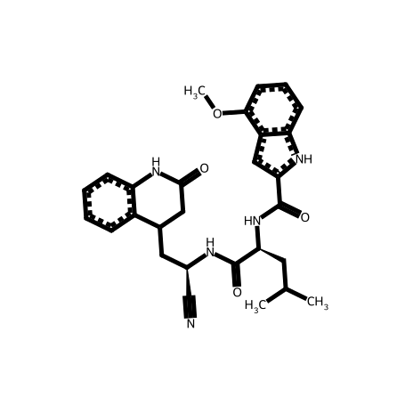 COc1cccc2[nH]c(C(=O)N[C@@H](CC(C)C)C(=O)N[C@@H](C#N)CC3CC(=O)Nc4ccccc43)cc12